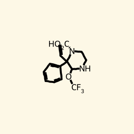 C=CC1(c2ccccc2)C(OC(F)(F)F)NCCN1C(=O)O